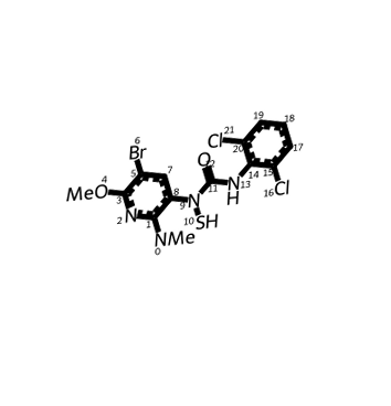 CNc1nc(OC)c(Br)cc1N(S)C(=O)Nc1c(Cl)cccc1Cl